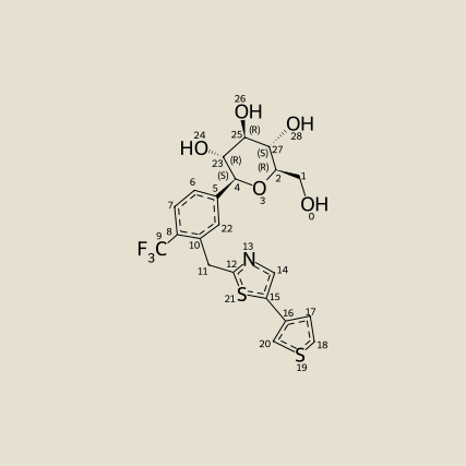 OC[C@H]1O[C@@H](c2ccc(C(F)(F)F)c(Cc3ncc(-c4ccsc4)s3)c2)[C@H](O)[C@@H](O)[C@@H]1O